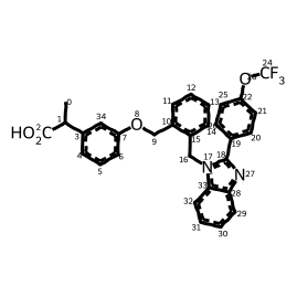 CC(C(=O)O)c1cccc(OCc2ccccc2Cn2c(-c3ccc(OC(F)(F)F)cc3)nc3ccccc32)c1